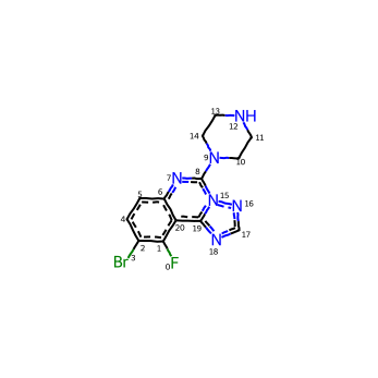 Fc1c(Br)ccc2nc(N3CCNCC3)n3ncnc3c12